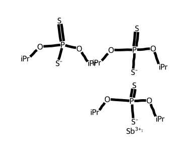 CC(C)OP(=S)([S-])OC(C)C.CC(C)OP(=S)([S-])OC(C)C.CC(C)OP(=S)([S-])OC(C)C.[Sb+3]